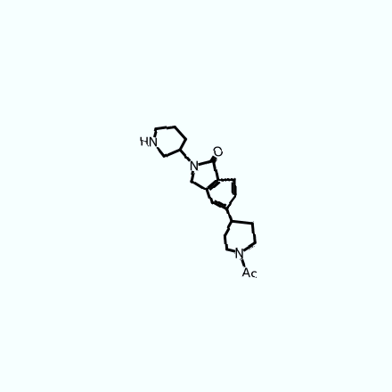 CC(=O)N1CCC(c2ccc3c(c2)CN(C2CCCNC2)C3=O)CC1